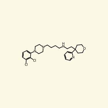 Clc1cccc(N2CCN(CCCCNCCC3(c4ccccn4)CCOCC3)CC2)c1Cl